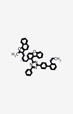 C=c1oc2c(ccc3ccccc32)/c1=C/C=C\Cc1ccc2oc3ccccc3c2c1-c1nc(-c2ccccc2)nc(-c2ccc(-c3ccccc3/C=C\C)cc2)n1